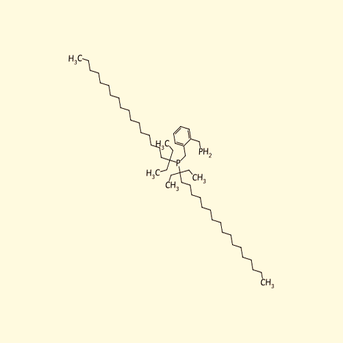 CCCCCCCCCCCCCCCCCC(CC)(CC)P(Cc1ccccc1CP)C(CC)(CC)CCCCCCCCCCCCCCCCC